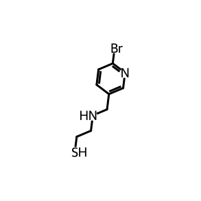 SCCNCc1ccc(Br)nc1